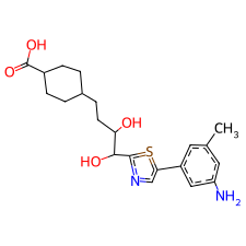 Cc1cc(N)cc(-c2cnc(C(O)C(O)CCC3CCC(C(=O)O)CC3)s2)c1